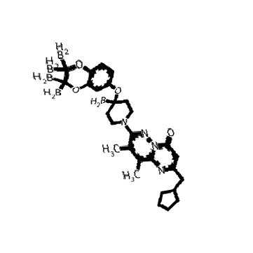 BC1(Oc2ccc3c(c2)OC(B)(B)C(B)(B)O3)CCN(c2nn3c(=O)cc(CC4CCCC4)nc3c(C)c2C)CC1